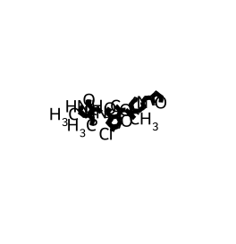 CSc1cc(C)[nH]c(=O)c1CNC(=O)c1cc(Cl)cc2c1C(C)OC(C)(C1CCN(CC3CCOC3)CC1)O2